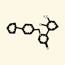 O=c1ccn(Cc2ccc(-c3ccccc3)cc2)c(-c2cccc(C(F)(F)F)c2Cl)c1